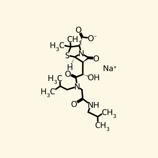 CC(C)CNC(=O)CN(CC(C)C)C(=O)[C@@H](O)[C@@H]1C(=O)N2[C@@H]1SC(C)(C)[C@@H]2C(=O)[O-].[Na+]